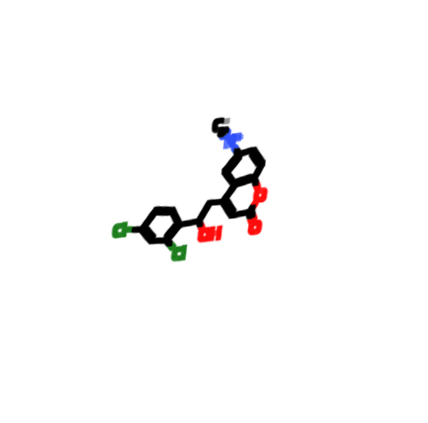 [C-]#[N+]c1ccc2oc(=O)cc(CC(O)c3ccc(Cl)cc3Cl)c2c1